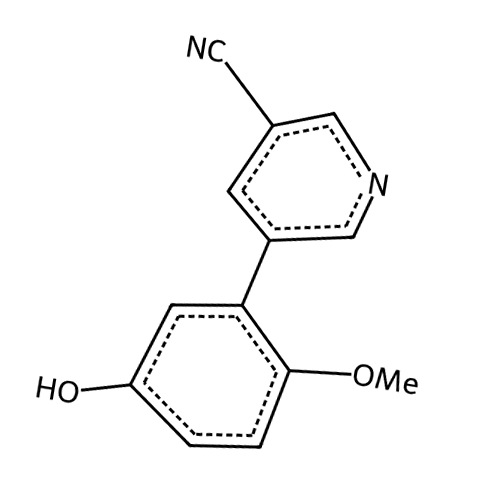 COc1ccc(O)cc1-c1cncc(C#N)c1